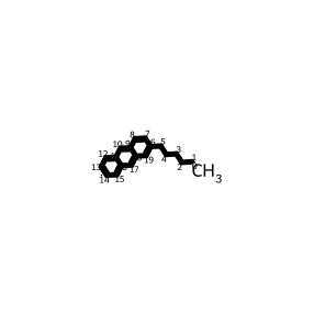 CCCCCCc1ccc2cc3cc[c]cc3cc2c1